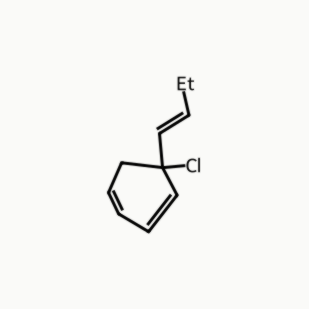 CCC=CC1(Cl)C=CC=CC1